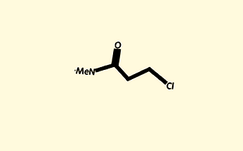 C[N]C(=O)CCCl